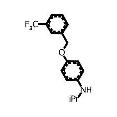 CC(C)Nc1ccc(OCc2cccc(C(F)(F)F)c2)cc1